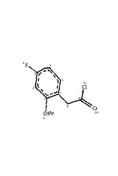 COc1cc(F)ccc1CC(=O)Cl